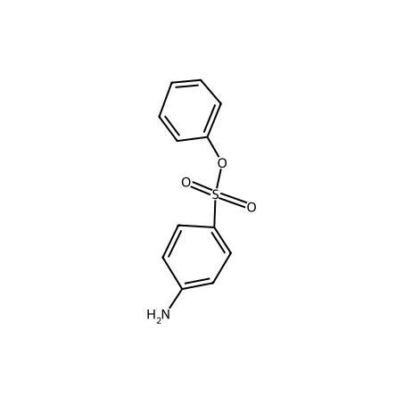 Nc1ccc(S(=O)(=O)Oc2ccccc2)cc1